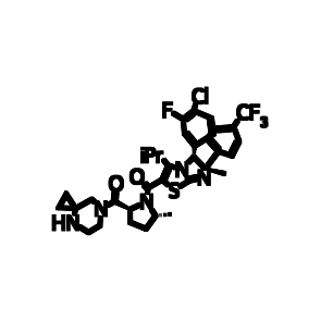 CC(C)C1=C(C(=O)N2[C@H](C)CC[C@H]2C(=O)N2CCNC3(CC3)C2)SC2=N[C@@](C)(c3ccc(C(F)(F)F)cc3)[C@@H](c3ccc(Cl)c(F)c3)N21